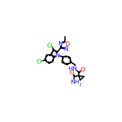 Cc1nc(-c2c(Cl)c3cc(Cl)ccc3n2-c2ccc(CNC(=O)C3(C(N)=O)CC3)cc2)no1